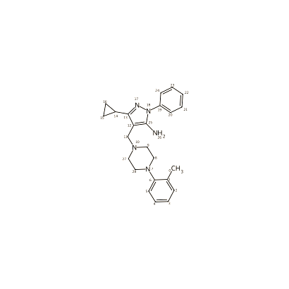 Cc1ccccc1N1CCN(Cc2c(C3CC3)nn(-c3ccccc3)c2N)CC1